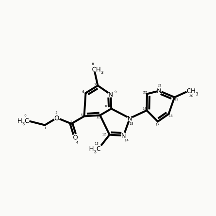 CCOC(=O)c1cc(C)nc2c1c(C)nn2-c1ccc(C)nc1